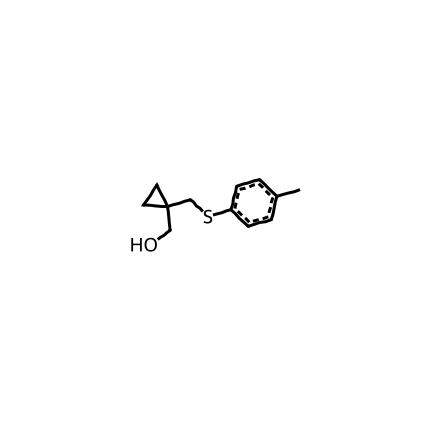 Cc1ccc(SCC2(CO)CC2)cc1